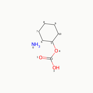 N.O=C(O)OC1CCCCC1